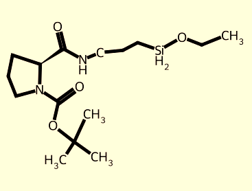 CCO[SiH2]CCCNC(=O)[C@@H]1CCCN1C(=O)OC(C)(C)C